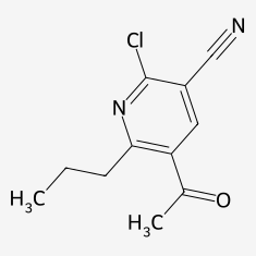 CCCc1nc(Cl)c(C#N)cc1C(C)=O